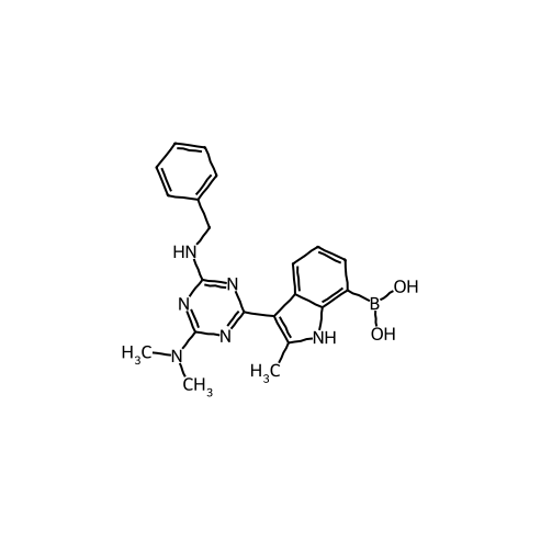 Cc1[nH]c2c(B(O)O)cccc2c1-c1nc(NCc2ccccc2)nc(N(C)C)n1